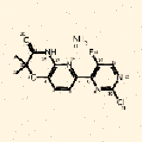 CC1(C)Oc2ccc(-c3nc(Cl)ncc3F)nc2NC1=O.N